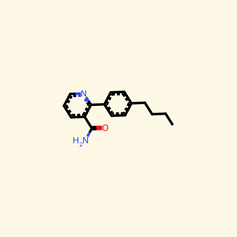 CCCCc1ccc(-c2ncccc2C(N)=O)cc1